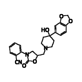 N#Cc1ccccc1N1CC(CN2CCC(O)(c3ccc4c(c3)OCO4)CC2)OC1=O